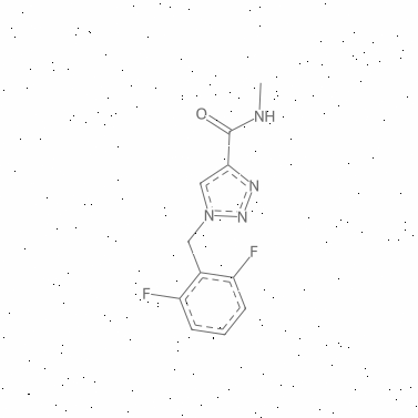 CNC(=O)c1cn(Cc2c(F)cccc2F)nn1